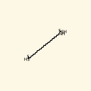 S=C(S)CCCCCCCCCCCCCCCCCCCCCCCCCCCCNC(=S)S